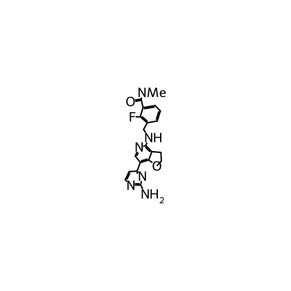 CNC(=O)c1cccc(CNc2ncc(-c3ccnc(N)n3)c3c2CCO3)c1F